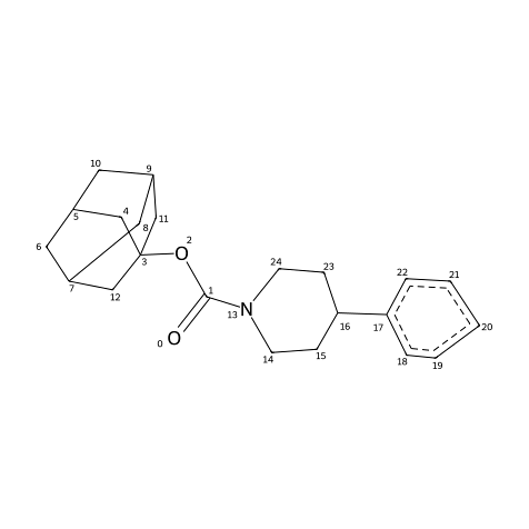 O=C(OC12CC3CC(CC(C3)C1)C2)N1CCC(c2ccccc2)CC1